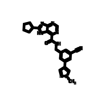 Cn1cc(-c2cc(C#N)cc(CNC(=O)c3ncnc4nc(C5CCCC5)[nH]c34)c2)cn1